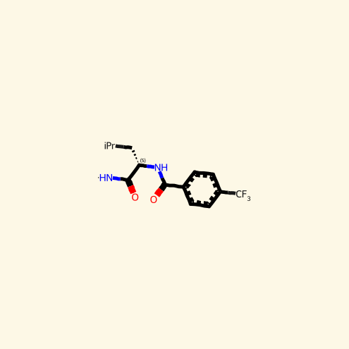 CC(C)C[C@H](NC(=O)c1ccc(C(F)(F)F)cc1)C([NH])=O